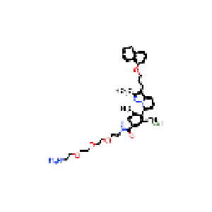 Cc1cc(C(=O)NCCOCCOCCOCCN)cc(C)c1-c1cccc2c(CCCOc3cccc4ccccc34)c(C(=O)O)nn12.Cl